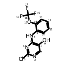 Oc1cnc(Cl)nc1Nc1ccccc1OC(F)(F)F